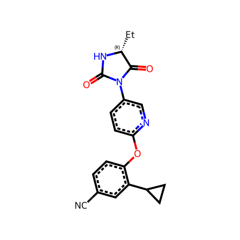 CC[C@H]1NC(=O)N(c2ccc(Oc3ccc(C#N)cc3C3CC3)nc2)C1=O